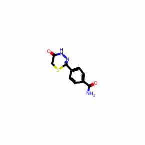 NC(=O)c1ccc(C2=NNC(=O)CS2)cc1